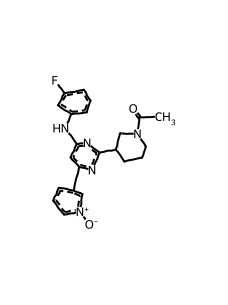 CC(=O)N1CCCC(c2nc(Nc3cccc(F)c3)cc(-c3ccc[n+]([O-])c3)n2)C1